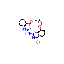 CCOc1cccc2c(C)nc(Nc3nc(=O)c4c([nH]3)CCCC4)nc12